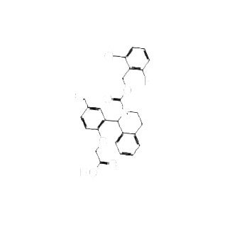 O=C(O)COc1ccc(Cl)cc1C1c2ccccc2CCN1C(=O)OCc1c(F)cccc1Cl